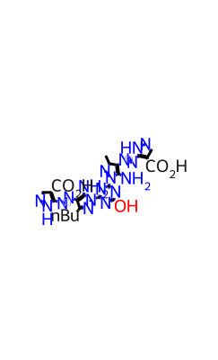 CCCCc1nn(-c2nc(O)nc(-n3nc(C)c(/N=N/c4[nH]ncc4C(=O)O)c3N)n2)c(N)c1/N=N/c1[nH]ncc1C(=O)O